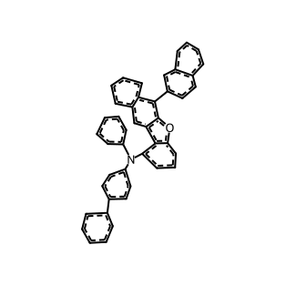 c1ccc(-c2ccc(N(c3ccccc3)c3cccc4oc5c(-c6ccc7ccccc7c6)c6ccccc6cc5c34)cc2)cc1